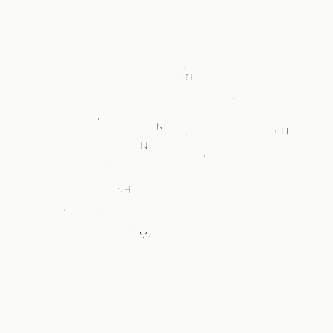 COc1ccccc1NC(=O)C(N=Nc1ccc(S(=O)(=O)O)cc1[N+](=O)[O-])C(C)=O